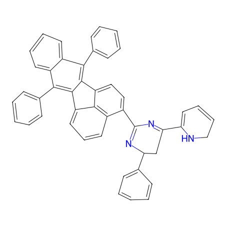 C1=CCNC(C2=NC(c3ccc4c5c(cccc35)-c3c-4c(-c4ccccc4)c4ccccc4c3-c3ccccc3)=NC(c3ccccc3)C2)=C1